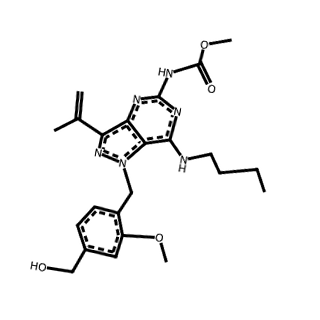 C=C(C)c1nn(Cc2ccc(CO)cc2OC)c2c(NCCCC)nc(NC(=O)OC)nc12